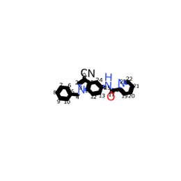 N#Cc1cn(Cc2ccccc2)c2ccc(NC(=O)c3ccccn3)cc12